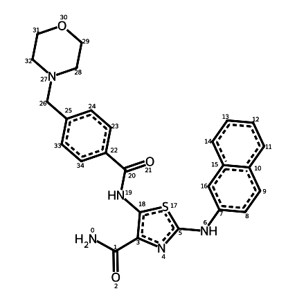 NC(=O)c1nc(Nc2ccc3ccccc3c2)sc1NC(=O)c1ccc(CN2CCOCC2)cc1